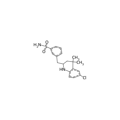 CC1(C)CC(Cc2cccc(S(N)(=O)=O)c2)Nc2ccc(Cl)cc21